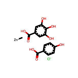 O=C(O)c1cc(O)c(O)c(O)c1.O=C(O)c1ccc(O)cc1.[CH3][Zn+].[Cl-]